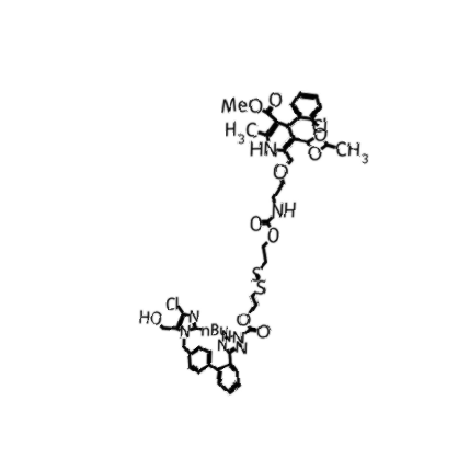 CCCCc1nc(Cl)c(CO)n1Cc1ccc(-c2ccccc2-c2nnn(C(=O)OCCSSCCOC(=O)NCCOCC3=C(C4OC(C)O4)C(c4ccccc4Cl)C(C(=O)OC)=C(C)N3)n2)cc1